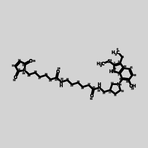 CCc1c(SC)[nH]c2c(N3CCC(CNC(=O)CCCCCNC(=O)CCCCCN4C(=O)C=CC4=O)C3)c(O)ccc12